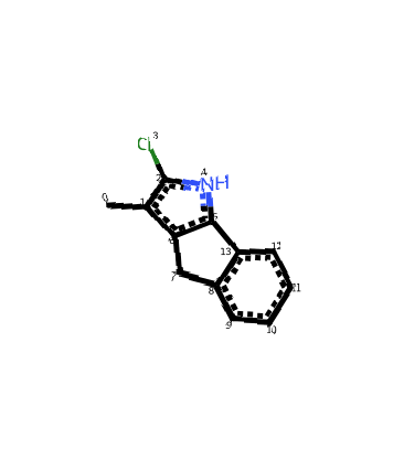 Cc1c(Cl)[nH]c2c1Cc1ccccc1-2